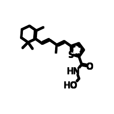 CC1=C(/C=C/C(C)=C/c2ccc(C(=O)NCO)s2)C(C)(C)CCC1